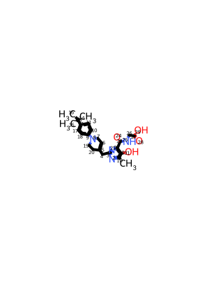 Cc1nc(CC2=CCN(c3ccc(C(C)(C)C)cc3)CC2)nc(C(=O)NCC(=O)O)c1O